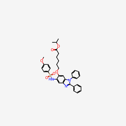 COc1ccc(S(=O)(=O)Nc2cc3nc(-c4ccccc4)n(-c4ccccc4)c3cc2OCCCCCC(=O)OC(C)C)cc1